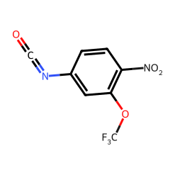 O=C=Nc1ccc([N+](=O)[O-])c(OC(F)(F)F)c1